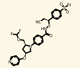 CCS(=O)(=O)c1ccc([C@H](CC#N)SNC(=O)c2ccc(N3C[C@@H](Oc4ccncc4)C[C@H]3COC(F)F)cc2)cc1